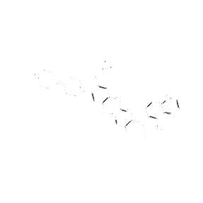 COc1cc(N2CCC(N3CCN(C)CC3)CC2)c(CC2CC2)cc1Nc1ncc(Br)c(Nc2ccc3nccnc3c2N(C)SC)n1